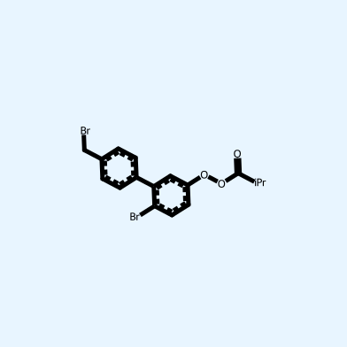 CC(C)C(=O)OOc1ccc(Br)c(-c2ccc(CBr)cc2)c1